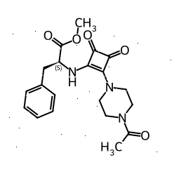 COC(=O)[C@H](Cc1ccccc1)Nc1c(N2CCN(C(C)=O)CC2)c(=O)c1=O